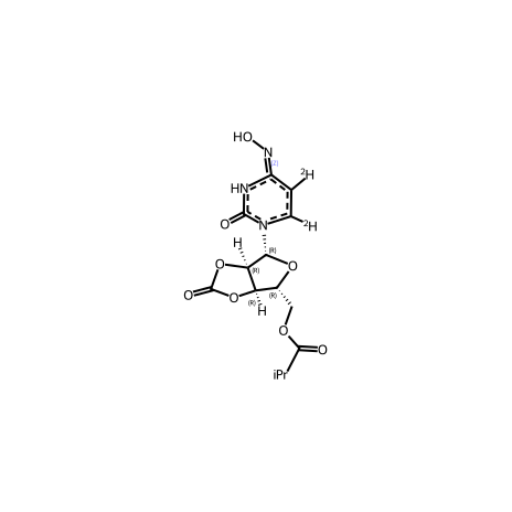 [2H]c1c([2H])n([C@@H]2O[C@H](COC(=O)C(C)C)[C@H]3OC(=O)O[C@H]32)c(=O)[nH]/c1=N\O